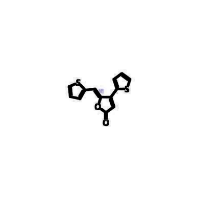 O=C1C=C(c2cccs2)/C(=C/c2cccs2)O1